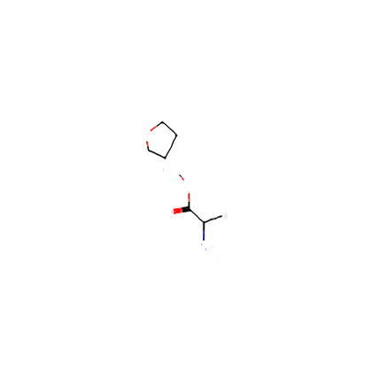 C1CCOC1.CC(C)C(N)C(=O)OC(C)(C)C